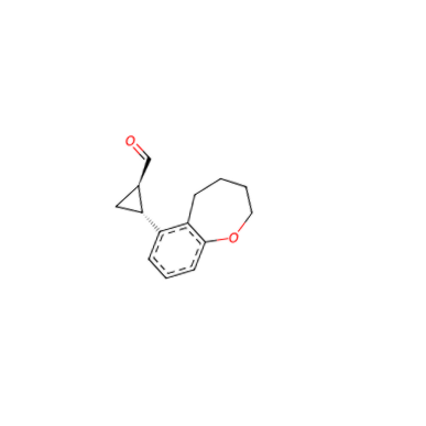 O=C[C@@H]1C[C@H]1c1cccc2c1CCCCO2